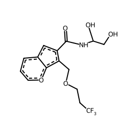 O=C(NC(O)CO)c1cc2cccoc-2c1COCCC(F)(F)F